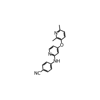 Cc1ccc(Oc2ccnc(Nc3ccc(C#N)cc3)c2)c(C)n1